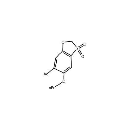 CCCOc1cc2c(cc1C(C)=O)OCS2(=O)=O